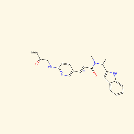 CNC(=O)CNc1ccc(/C=C/C(=O)N(C)C(C)c2cc3ccccc3[nH]2)cn1